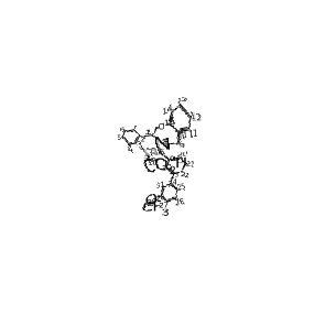 C[C@H](c1ccccc1)N(Cc1ccccc1)[C@@H](CC(=O)O)c1cccc(-c2cccc(OC(F)(F)F)c2)c1